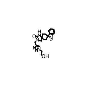 CN(C)C1(c2ccccc2)CCC2(CC1)CN(Cc1cn(CCO)nn1)C(=O)N2